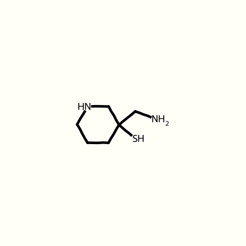 NCC1(S)CCCNC1